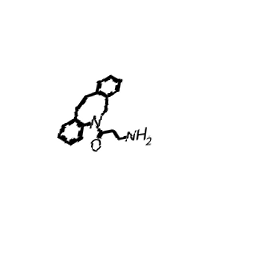 NCCC(=O)N1Cc2ccccc2/C=C\c2ccccc21